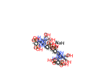 O=S(=O)(O)c1ccc(S(=O)(=O)O)c(Nc2nc(Nc3ccc(C=Cc4ccc(Nc5nc(Nc6cc(S(=O)(=O)O)ccc6S(=O)(=O)O)nc(N(CCO)CCO)n5)cc4S(=O)(=O)O)c(S(=O)(=O)O)c3)nc(N(CCO)CCO)n2)c1.[NaH]